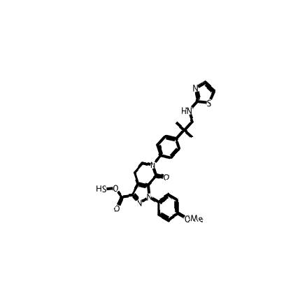 COc1ccc(-n2nc(C(=O)OS)c3c2C(=O)N(c2ccc(C(C)(C)CNc4nccs4)cc2)CC3)cc1